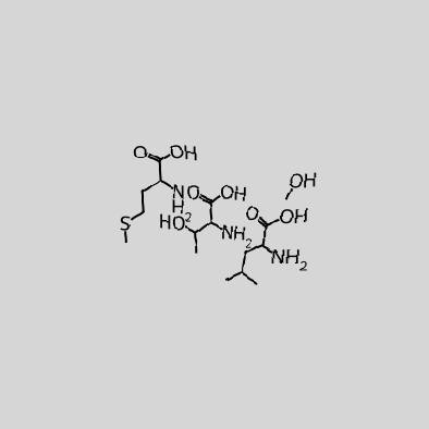 CC(C)CC(N)C(=O)O.CC(O)C(N)C(=O)O.CO.CSCCC(N)C(=O)O